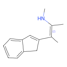 CN/C(C)=C(/C)C1=Cc2ccccc2C1